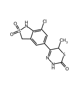 CC1SC(=O)NN=C1c1cc(Cl)c2c(c1)CS(=O)(=O)N2